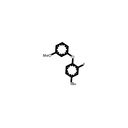 COc1cccc(Oc2ccc(C(C)(C)C)cc2F)c1